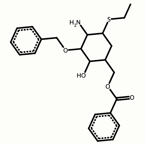 CCSC1CC(COC(=O)c2ccccc2)C(O)C(OCc2ccccc2)C1N